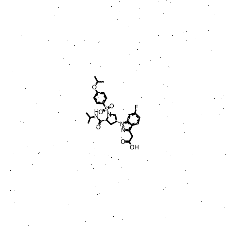 CC(C)NC(=O)[C@@H]1C[C@@H](n2nc(CC(=O)O)c3ccc(F)cc32)CN1S(=O)(=O)c1ccc(OC(C)C)cc1